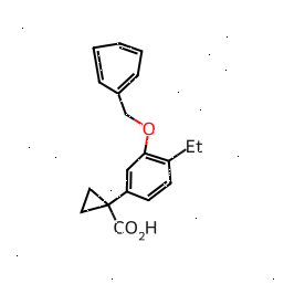 CCc1ccc(C2(C(=O)O)CC2)cc1OCc1ccccc1